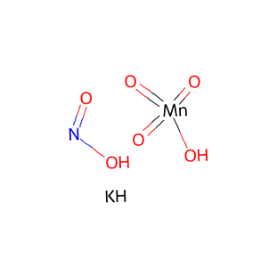 O=NO.[KH].[O]=[Mn](=[O])(=[O])[OH]